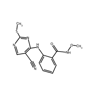 CONC(=O)c1ccccc1Nc1nc(SC)ncc1C#N